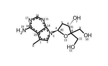 Cc1cn([C@H]2C[C@H](O)C(CO)(CO)O2)c2ncnc(N)c12